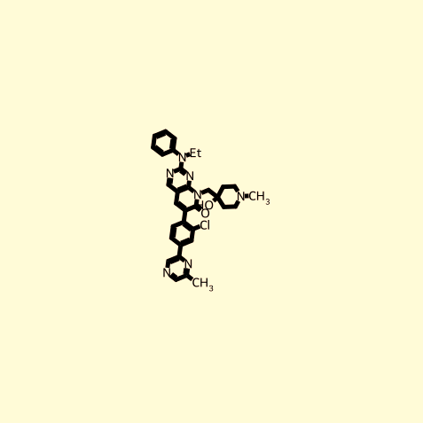 CCN(c1ccccc1)c1ncc2cc(-c3ccc(-c4cncc(C)n4)cc3Cl)c(=O)n(CC3(O)CCN(C)CC3)c2n1